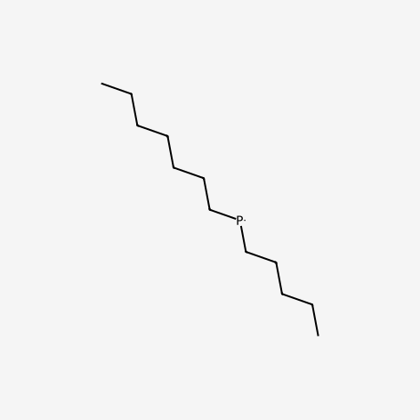 CCCCCCC[P]CCCCC